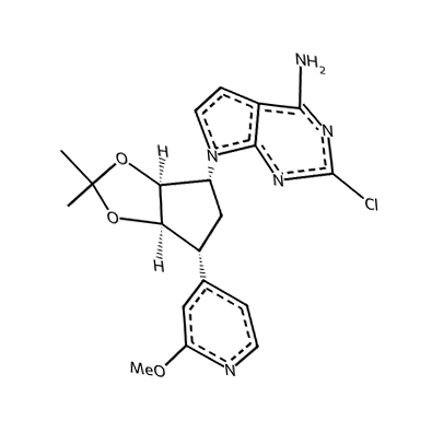 COc1cc([C@H]2C[C@@H](n3ccc4c(N)nc(Cl)nc43)[C@@H]3OC(C)(C)O[C@@H]32)ccn1